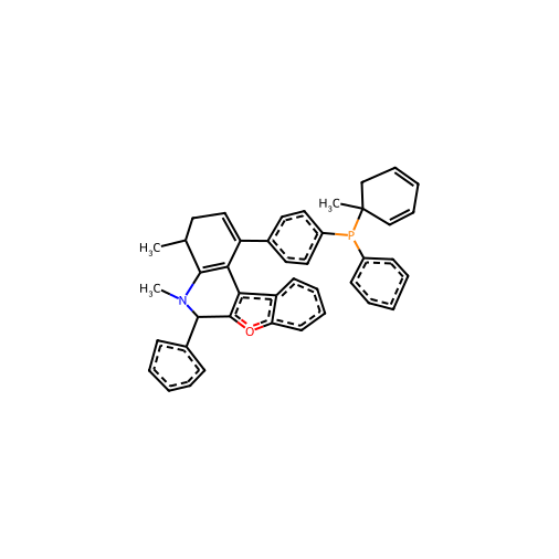 CC1CC=C(c2ccc(P(c3ccccc3)C3(C)C=CC=CC3)cc2)C2=C1N(C)C(c1ccccc1)c1oc3ccccc3c12